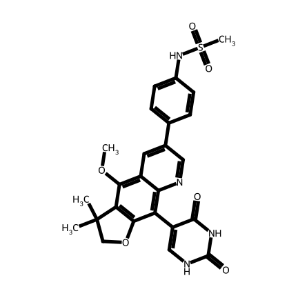 COc1c2c(c(-c3c[nH]c(=O)[nH]c3=O)c3ncc(-c4ccc(NS(C)(=O)=O)cc4)cc13)OCC2(C)C